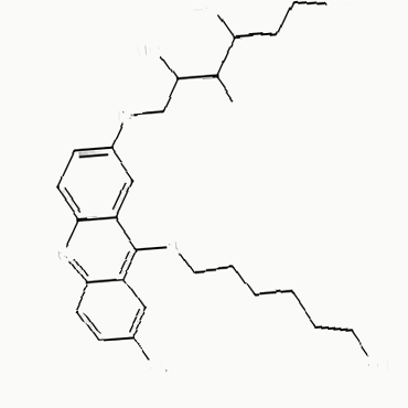 N#Cc1ccc2nc3ccc(NCC(O)C(O)C(O)CCO)cc3c(NCCCCCCO)c2c1